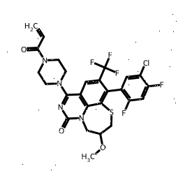 C=CC(=O)N1CCN(c2nc(=O)n3c4c(c(-c5cc(Cl)c(F)cc5F)c(C(F)(F)F)cc24)SCC(OC)C3)CC1